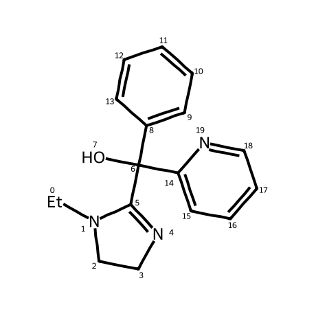 CCN1CCN=C1C(O)(c1ccccc1)c1ccccn1